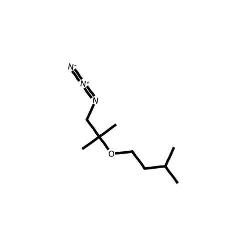 CC(C)CCOC(C)(C)CN=[N+]=[N-]